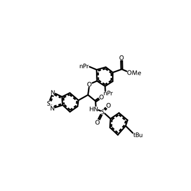 CCCc1cc(C(=O)OC)cc(CCC)c1OC(C(=O)NS(=O)(=O)c1ccc(C(C)(C)C)cc1)c1ccc2nsnc2c1